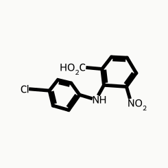 O=C(O)c1cccc([N+](=O)[O-])c1Nc1ccc(Cl)cc1